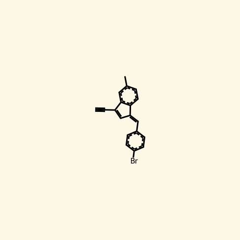 C#CC1=CC(=Cc2ccc(Br)cc2)c2ccc(C)cc21